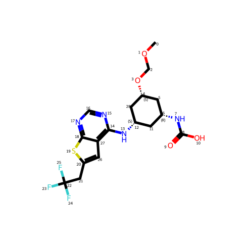 COCO[C@@H]1C[C@H](NC(=O)O)C[C@H](Nc2ncnc3sc(CC(F)(F)F)cc23)C1